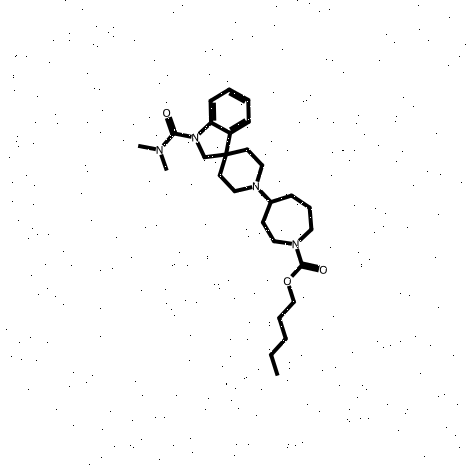 CCCCCOC(=O)N1CCCC(N2CCC3(CC2)CN(C(=O)N(C)C)c2ccccc23)CC1